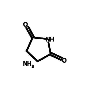 N.O=C1CCC(=O)N1